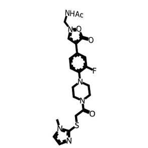 CC(=O)NCn1cc(-c2ccc(N3CCN(C(=O)CSc4nccn4C)CC3)c(F)c2)c(=O)o1